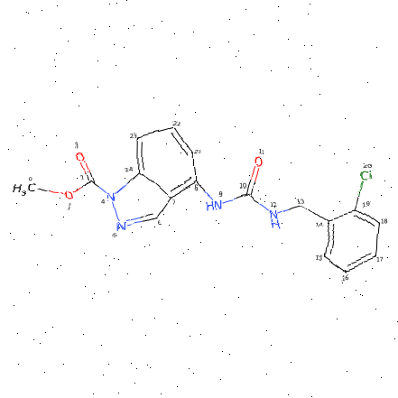 COC(=O)n1ncc2c(NC(=O)NCc3ccccc3Cl)cccc21